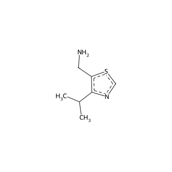 CC(C)c1ncsc1CN